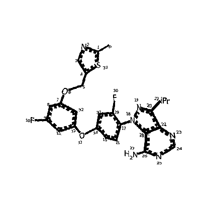 Cc1ncc(COc2cc(F)cc(Oc3ccc(-n4nc(C(C)C)c5ncnc(N)c54)c(F)c3)c2)s1